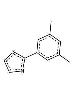 Cc1cc(C)cc(-c2n[c]cs2)c1